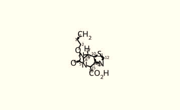 C=CCON1C(=O)N2C[C@H]1c1scnc1C2C(=O)O